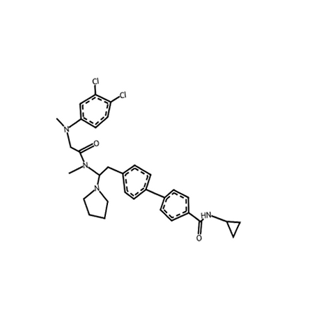 CN(CC(=O)N(C)C(Cc1ccc(-c2ccc(C(=O)NC3CC3)cc2)cc1)N1CCCC1)c1ccc(Cl)c(Cl)c1